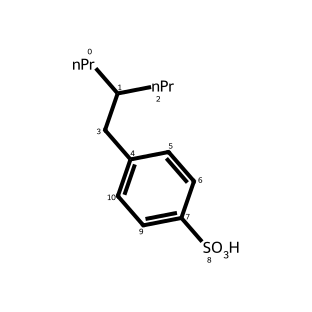 CCCC(CCC)Cc1ccc(S(=O)(=O)O)cc1